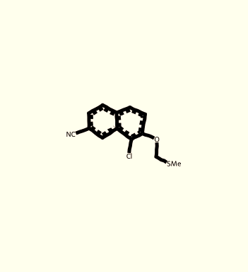 CSCOc1ccc2ccc(C#N)cc2c1Cl